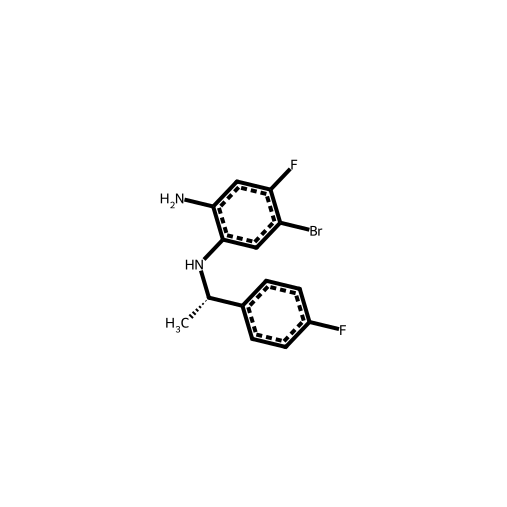 C[C@H](Nc1cc(Br)c(F)cc1N)c1ccc(F)cc1